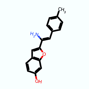 Cc1ccc(C=C(N)c2cc3ccc(O)cc3o2)cc1